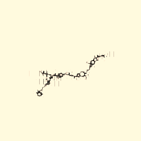 COC1=Cc2sc(C(=O)CCC(=O)OCc3ccc(NC(=O)[C@H](CCCNC(N)=O)NC(=O)CNC(=O)CCCCCN4C(=O)C=CC4=O)cc3)cc2CC=C1OCCCOc1cc2c(cc1OC)CN(C(=O)CCC(=O)O)C2